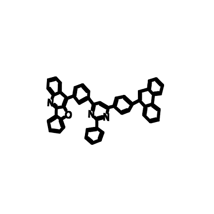 c1ccc(-c2nc(-c3ccc(-c4cc5ccccc5c5ccccc45)cc3)cc(-c3cccc(-c4c5ccccc5nc5c4oc4ccccc45)c3)n2)cc1